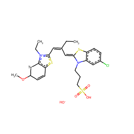 CCC(=Cc1sc2c([n+]1CC)[Te]C(OC)C=C2)C=C1Sc2ccc(Cl)cc2N1CCCS(=O)(=O)O.[OH-]